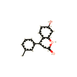 Cc1cccc(-c2cc(=O)oc3cc(Br)ccc23)c1